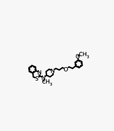 COc1cccc(CCOCCCN2CCC(N(C)C3=Nc4ccccc4CS3)CC2)c1